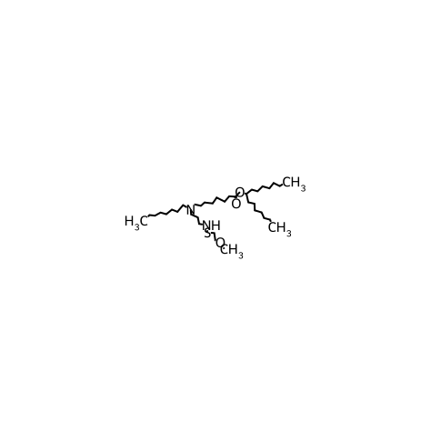 CCCCCCCCN(CCCCCCCC(=O)OC(CCCCCCC)CCCCCCC)CCCNSCCOC